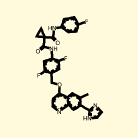 Cc1cc2c(OCc3cc(F)c(NC(=O)C4(C(=O)Nc5ccc(F)cc5)CC4)cc3F)ccnc2cc1-c1ncc[nH]1